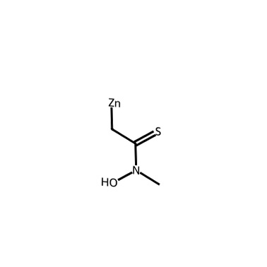 CN(O)C(=S)[CH2][Zn]